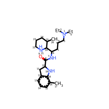 CCN(CC)CCCC(NC(=O)C1Cc2cccc(C)c2N1)C1NCCCC1C